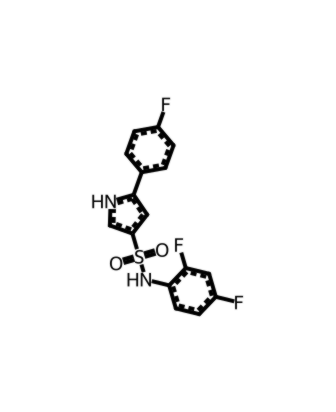 O=S(=O)(Nc1ccc(F)cc1F)c1c[nH]c(-c2ccc(F)cc2)c1